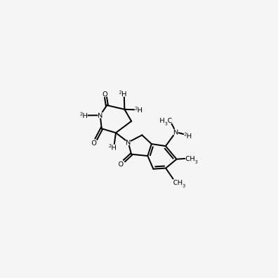 [2H]N1C(=O)C([2H])([2H])CC([2H])(N2Cc3c(cc(C)c(C)c3N([2H])C)C2=O)C1=O